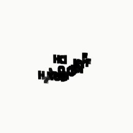 C[C@H](N)COC1CCN(C2CCN(c3ncc(C(F)F)cn3)CC2)C1=O.Cl